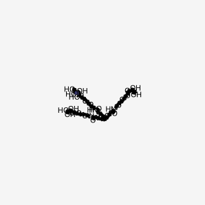 CC(O)C(O)C1OC1OCCOCCOCCNC(=O)CCOCC(C)(COCCC(=O)NCCOCCOCCOC(O)C(O)O)COCCC(=O)NCCOCCOCCO[C@@H](O)/C(O)=C(\O)CO